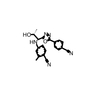 Cc1cc(N[C@@H](c2nnc(-c3ccc(C#N)cc3)o2)[C@@H](C)O)ccc1C#N